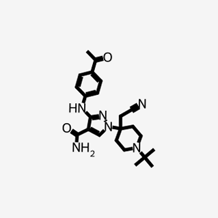 CC(=O)c1ccc(Nc2nn(C3(CC#N)CCN(C(C)(C)C)CC3)cc2C(N)=O)cc1